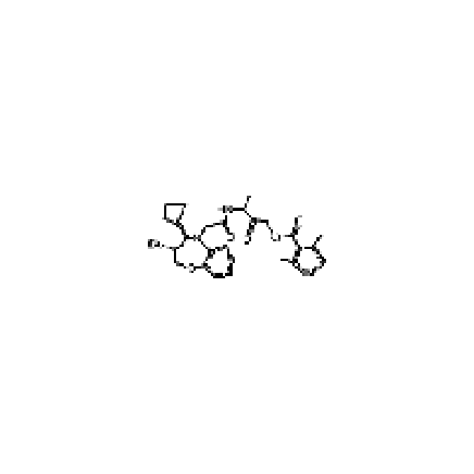 CCC(C)C1COc2ccccc2N(CC(=O)NC(C)C(=O)COC(=O)c2c(C)cccc2C)C1=C1CCC1